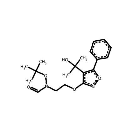 CC(C)(C)ON(C=O)CCOc1noc(-c2ccccc2)c1C(C)(C)O